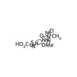 COC1CN(c2ncc(C(=O)O)s2)CCC1NC(=O)c1nc(Cl)c(C)[nH]1